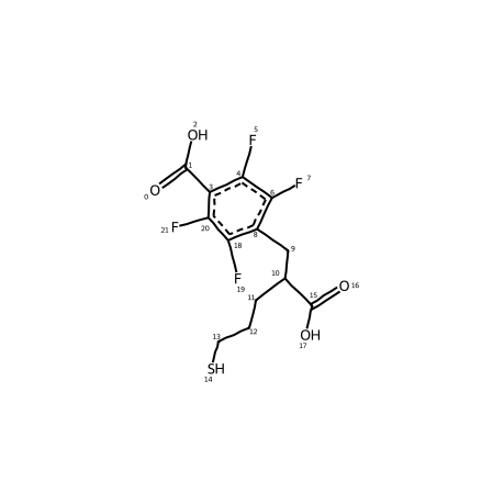 O=C(O)c1c(F)c(F)c(CC(CCCS)C(=O)O)c(F)c1F